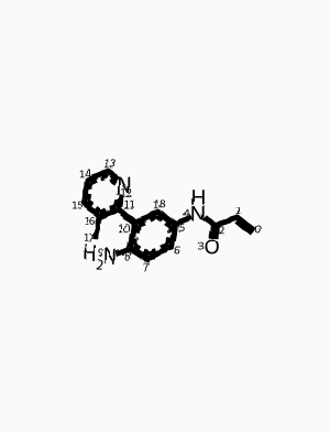 C=CC(=O)Nc1ccc(N)c(-c2ncccc2C)c1